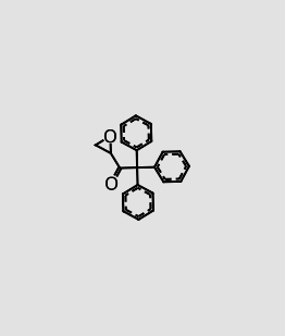 O=C(C1CO1)C(c1ccccc1)(c1ccccc1)c1ccccc1